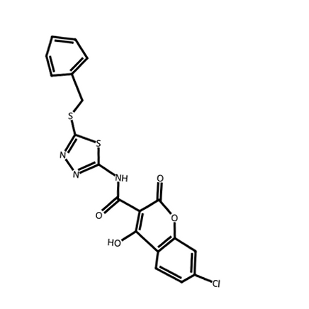 O=C(Nc1nnc(SCc2ccccc2)s1)c1c(O)c2ccc(Cl)cc2oc1=O